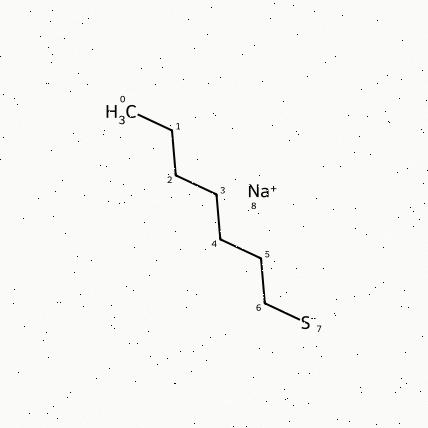 CCCCCCC[S-].[Na+]